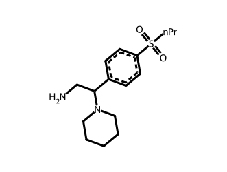 CCCS(=O)(=O)c1ccc(C(CN)N2CCCCC2)cc1